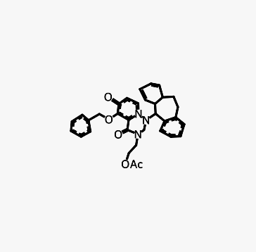 CC(=O)OCCN1CN(C2c3ccccc3CCC3C=CC=CC32)n2ccc(=O)c(OCc3ccccc3)c2C1=O